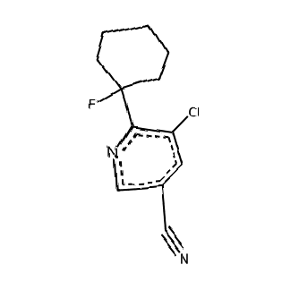 N#Cc1cnc(C2(F)CCCCC2)c(Cl)c1